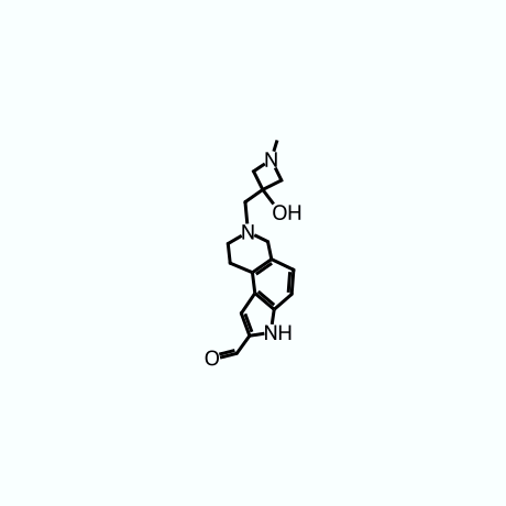 CN1CC(O)(CN2CCc3c(ccc4[nH]c(C=O)cc34)C2)C1